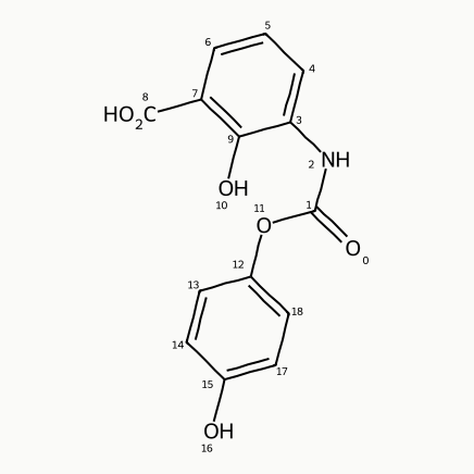 O=C(Nc1cccc(C(=O)O)c1O)Oc1ccc(O)cc1